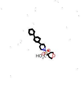 O=C(O)C1(S(=O)(=O)N2CC=C(c3ccc(-c4ccccc4)cc3)CC2)CCOCC1